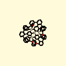 c1ccc(-c2cccc(-c3ccccc3)c2-c2cc3c4c(c2)S2(c5ccccc5-c5ccccc52)c2cc(-c5c(-c6ccccc6)cccc5-c5ccccc5)cc5c2N4c2c(cc(-c4c(-c6ccccc6)cccc4-c4ccccc4)cc2S52c4ccccc4-c4ccccc42)S32c3ccccc3-c3ccccc32)cc1